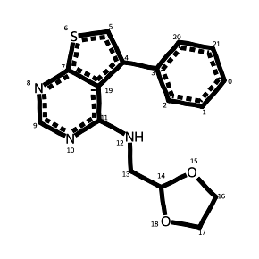 c1ccc(-c2csc3ncnc(NCC4OCCO4)c23)cc1